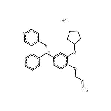 C=CCOc1ccc([C@H](Cc2ccncc2)c2ccccc2)cc1OC1CCCC1.Cl